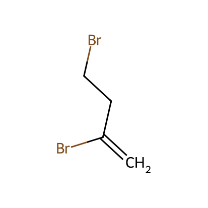 C=C(Br)CCBr